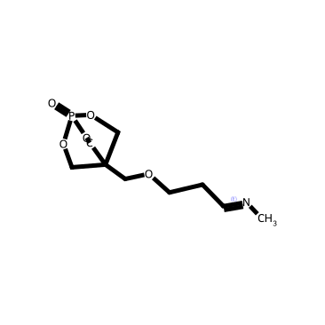 C/N=C/CCOCC12COP(=O)(OC1)OC2